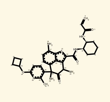 C=CC(=O)N[C@H]1CCCC[C@H]1NC(=O)c1sc2c(N)ccc3c2c1C(N)C(=O)C3(N)c1ccc(OC2CCC2)nc1C